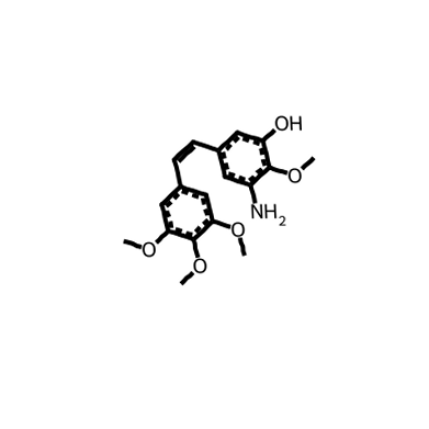 COc1cc(/C=C\c2cc(N)c(OC)c(O)c2)cc(OC)c1OC